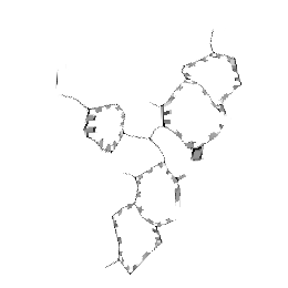 COc1ccc(C(c2c(O)c3cc(C)ccc3oc2=O)c2c(O)c3cc(C)ccc3oc2=O)cc1